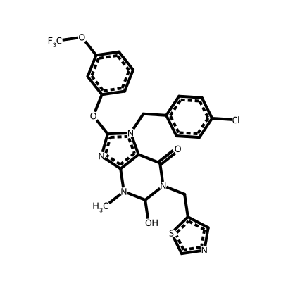 CN1c2nc(Oc3cccc(OC(F)(F)F)c3)n(Cc3ccc(Cl)cc3)c2C(=O)N(Cc2cncs2)C1O